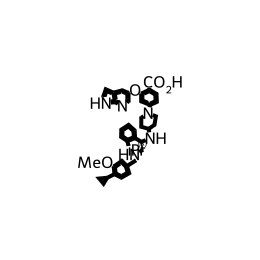 COc1cc(CNC[C@H](NC2CCN(c3ccc(C(=O)O)c(Oc4cnc5[nH]ccc5c4)c3)CC2)c2ccccc2C(C)C)ccc1C1CC1